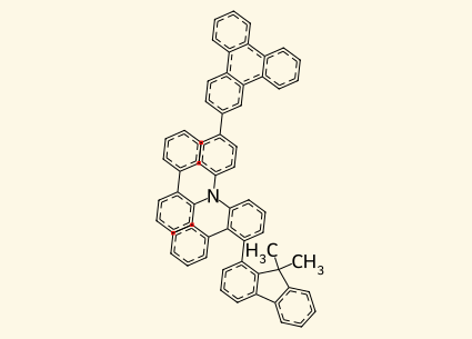 CC1(C)c2ccccc2-c2cccc(-c3cccc(N(c4ccc(-c5ccc6c7ccccc7c7ccccc7c6c5)cc4)c4ccccc4-c4ccccc4)c3-c3ccccc3)c21